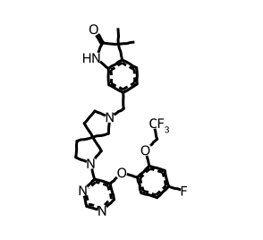 CC1(C)C(=O)Nc2cc(CN3CCC4(CCN(c5ncncc5Oc5ccc(F)cc5OCC(F)(F)F)C4)C3)ccc21